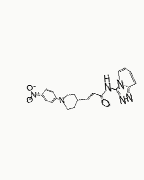 O=C(C=CC1CCN(c2ccc([N+](=O)[O-])cc2)CC1)Nc1nnc2ccccn12